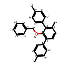 Cc1ccc(-c2c[c]c(C)c(-c3ccc(C)cc3)c2OCc2ccccc2)cc1